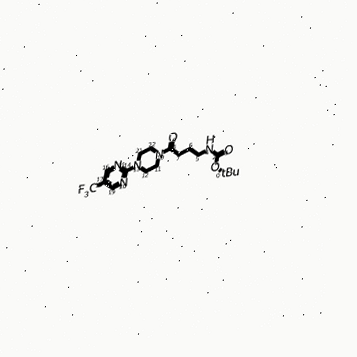 CC(C)(C)OC(=O)NCCCC(=O)N1CCN(c2ncc(C(F)(F)F)cn2)CC1